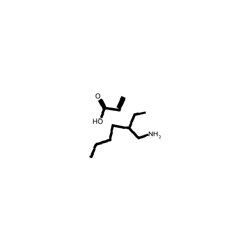 C=CC(=O)O.CCCCC(CC)CN